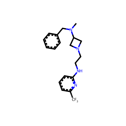 CN(Cc1ccccc1)C1CN(CCNc2cccc(C(F)(F)F)n2)C1